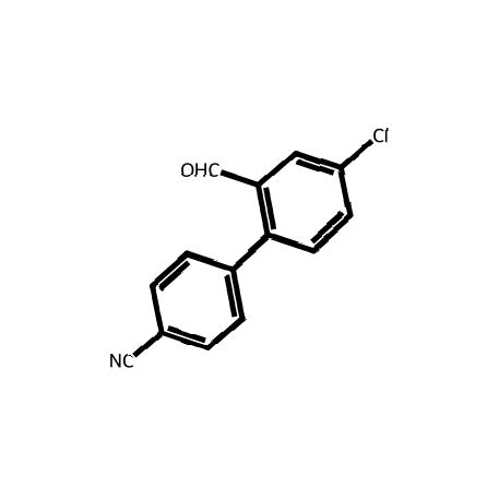 N#Cc1ccc(-c2ccc(Cl)cc2C=O)cc1